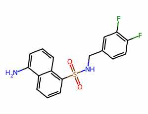 Nc1cccc2c(S(=O)(=O)NCc3ccc(F)c(F)c3)cccc12